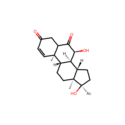 CC(=O)[C@@]1(O)CC[C@H]2[C@@H]3[C@H](O)C(=O)C4CC(=O)C=C[C@]4(C)[C@H]3CC[C@@]21C